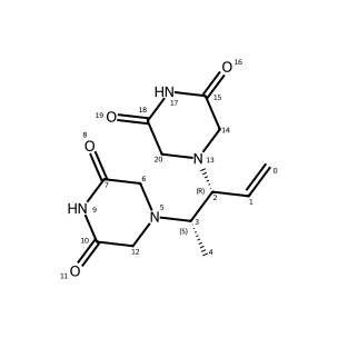 C=C[C@H]([C@H](C)N1CC(=O)NC(=O)C1)N1CC(=O)NC(=O)C1